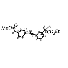 CCOC(=O)C(C)(C)c1cccc(C#Cc2ccc(CC(=O)OC)cc2)c1